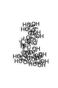 C=C1C[C@@]23CCC4[C@](C)(C(=O)O[C@@H]5OC(CO)[C@@H](O)[C@H](O)C5O[C@@H]5OC(C)[C@H](O)[C@H](O)C5O)CCC[C@@]4(C)[C@@H]2CCC1(O[C@@H]1OC(CO)[C@@H](O)[C@H](O[C@@H]2OC(CO)[C@@H](O)[C@H](O)C2O)C1O[C@@H]1OC(C)[C@H](O)[C@H](O)C1O)C3